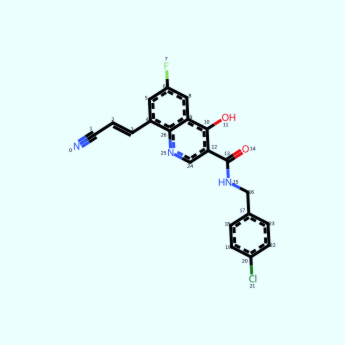 N#CC=Cc1cc(F)cc2c(O)c(C(=O)NCc3ccc(Cl)cc3)cnc12